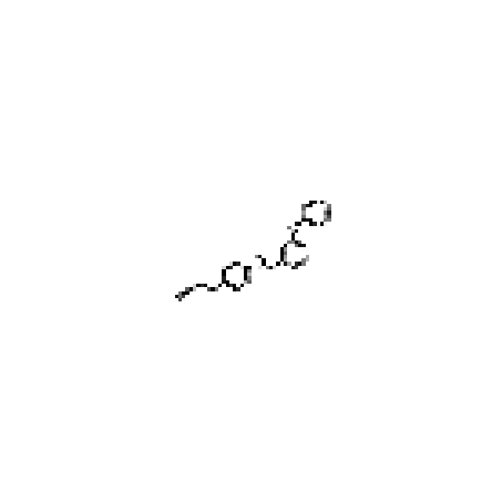 N#CCCc1ccc(OCc2cccc(Oc3ccccc3)c2)cc1